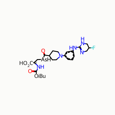 CC(C)COC(=O)N[C@H](C[AsH]C(=O)C1CCN(c2cccc(NC3=NCC(F)CN3)c2)CC1)C(=O)O